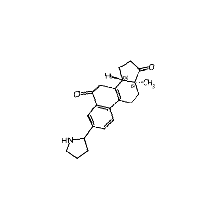 C[C@]12CCC3=C(CC(=O)c4cc(C5CCCN5)ccc43)[C@@H]1CCC2=O